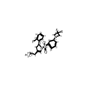 CNCC1=CN(S(=O)(=O)c2cccc(N3CC(F)(F)C3)c2)C(c2ccccc2F)C1